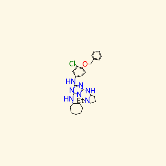 CCN1CCCC1Nc1nc(Nc2ccc(OCc3ccccc3)c(Cl)c2)nc(NC2CCCCCC2)n1